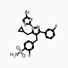 CC(=O)c1csc(-n2nc(-c3cccc(F)c3)c(Cc3ccc(S(N)(=O)=O)c(F)c3)c2CC2CC2)n1